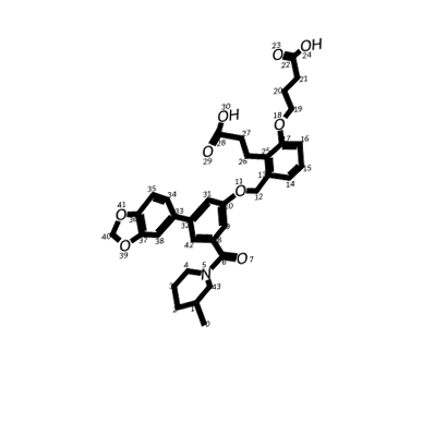 CC1CCCN(C(=O)c2cc(OCc3cccc(OCCCC(=O)O)c3CCC(=O)O)cc(-c3ccc4c(c3)OCO4)c2)C1